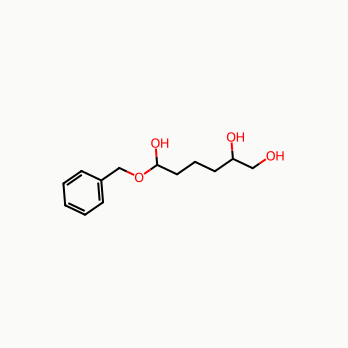 OCC(O)CCCC(O)OCc1ccccc1